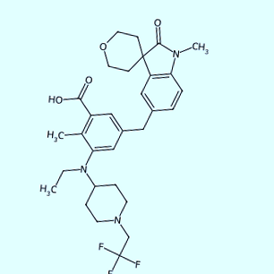 CCN(c1cc(Cc2ccc3c(c2)C2(CCOCC2)C(=O)N3C)cc(C(=O)O)c1C)C1CCN(CC(F)(F)F)CC1